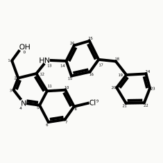 OCc1cnc2ccc(Cl)cc2c1Nc1ccc(Cc2ccccc2)cc1